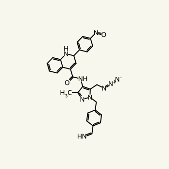 Cc1nn(Cc2ccc(C=N)cc2)c(CN=[N+]=[N-])c1NC(=O)C1=CC(c2ccc(N=O)cc2)Nc2ccccc21